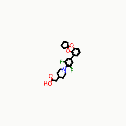 O=C(O)CC1CCN(c2c(F)cc(-c3cccc4c3OC3(CCCC3)O4)cc2F)CC1